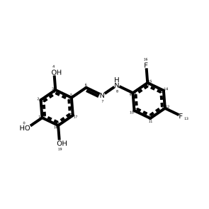 Oc1cc(O)c(C=NNc2ccc(F)cc2F)cc1O